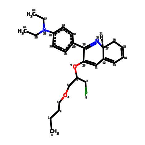 CCCCOCC(CF)OC1=CC2=CC=CC[C@@H]2N=C1c1ccc(N(CC)CC)cc1